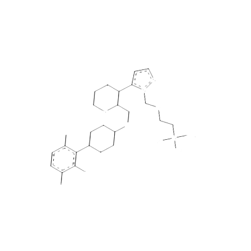 C[Si](C)(C)CCOCn1nccc1C1CCCNC1COC1CCC(c2c(F)ccc(F)c2F)CC1